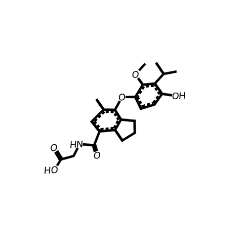 COc1c(Oc2c(C)cc(C(=O)NCC(=O)O)c3c2CCC3)ccc(O)c1C(C)C